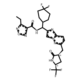 CCc1nonc1C(=O)NC(c1cn2nc(C[C@H]3C[C@@H](C(F)(F)F)NC3=O)ccc2n1)C1CCC(F)(F)CC1